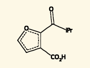 CC(C)C(=O)c1occc1C(=O)O